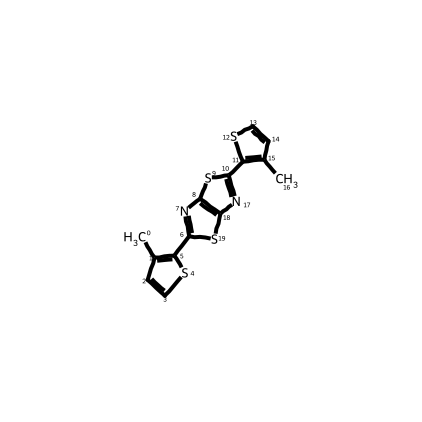 Cc1ccsc1-c1nc2sc(-c3sccc3C)nc2s1